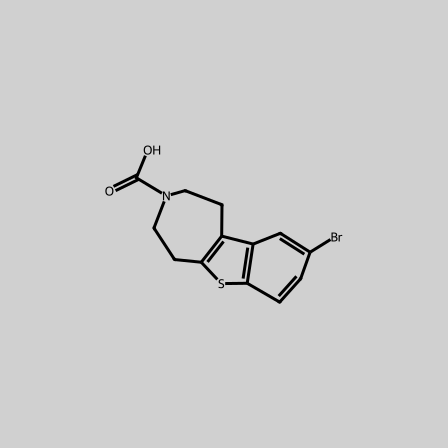 O=C(O)N1CCc2sc3ccc(Br)cc3c2CC1